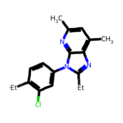 C[CH]c1ccc(-n2c(CC)nc3c(C)cc(C)nc32)cc1Cl